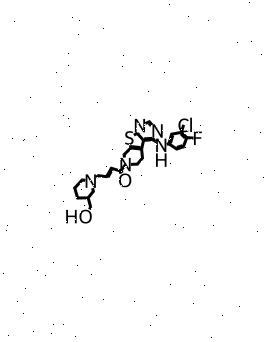 O=C(/C=C/CN1CCCC(CO)C1)N1CCc2c(sc3ncnc(Nc4ccc(F)c(Cl)c4)c23)C1